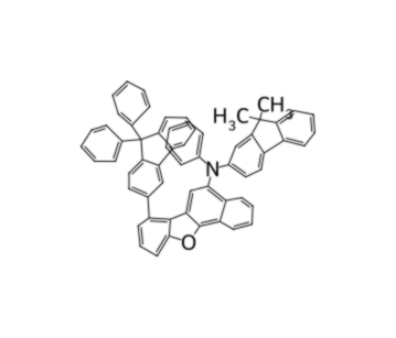 CC1(C)c2ccccc2-c2ccc(N(c3ccccc3)c3cc4c(oc5cccc(-c6ccc7c(c6)-c6ccccc6C7(c6ccccc6)c6ccccc6)c54)c4ccccc34)cc21